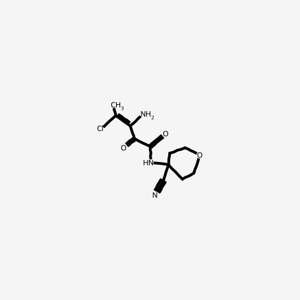 C/C(Cl)=C(\N)C(=O)C(=O)NC1(C#N)CCOCC1